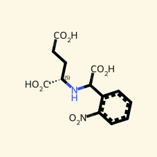 O=C(O)CC[C@H](NC(C(=O)O)c1ccccc1[N+](=O)[O-])C(=O)O